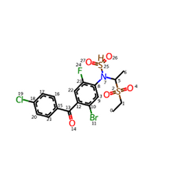 CCS(=O)(=O)C(C)N(c1cc(Br)c(C(=O)c2ccc(Cl)cc2)cc1F)[SH](=O)=O